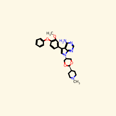 COc1cc(-c2cn([C@H]3CO[C@H](C4CCN(C)CC4)OC3)c3ncnc(N)c23)ccc1Oc1ccccc1